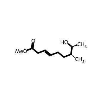 COC(=O)C/C=C/CC[C@@H](C)[C@H](C)O